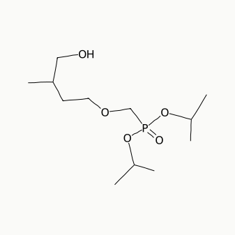 CC(CO)CCOCP(=O)(OC(C)C)OC(C)C